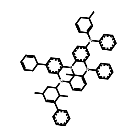 CC1C=C(N(c2ccccc2)c2ccc3c(c2)N(c2ccccc2)C2=CC=CC4N(C5CC(C)C=C(c6ccccc6)C5C)c5cc(C6C=CC=CC6)ccc5B3C24C)C=CC1